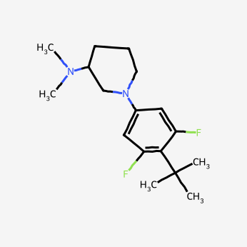 CN(C)C1CCCN(c2cc(F)c(C(C)(C)C)c(F)c2)C1